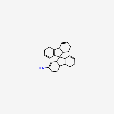 NC1=CC2C(CC1)C1CCC=CC1C21C2=C(CCC=C2)C2C=CCCC21